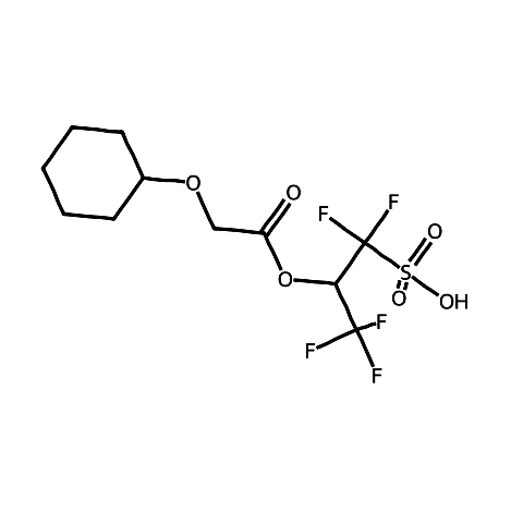 O=C(COC1CCCCC1)OC(C(F)(F)F)C(F)(F)S(=O)(=O)O